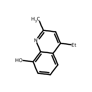 CCc1cc(C)nc2c(O)cccc12